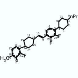 CCCC1CCC(c2ccc(/C=C/C3CCC(c4ccc(C)c(F)c4F)CC3)c(F)c2F)CC1